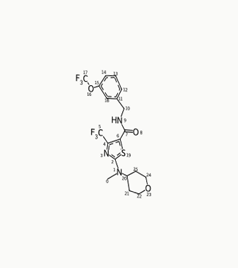 CN(c1nc(C(F)(F)F)c(C(=O)NCc2cccc(OC(F)(F)F)c2)s1)C1CCOCC1